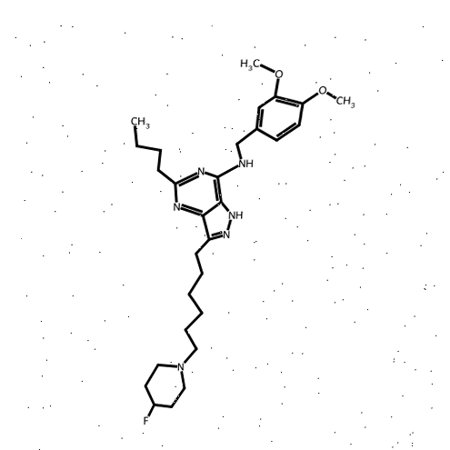 CCCCc1nc(NCc2ccc(OC)c(OC)c2)c2[nH]nc(CCCCCCN3CCC(F)CC3)c2n1